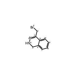 BrCC1=NNCc2ccccc21